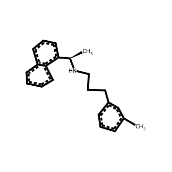 Cc1cccc(CCCN[C@H](C)c2cccc3ccccc23)c1